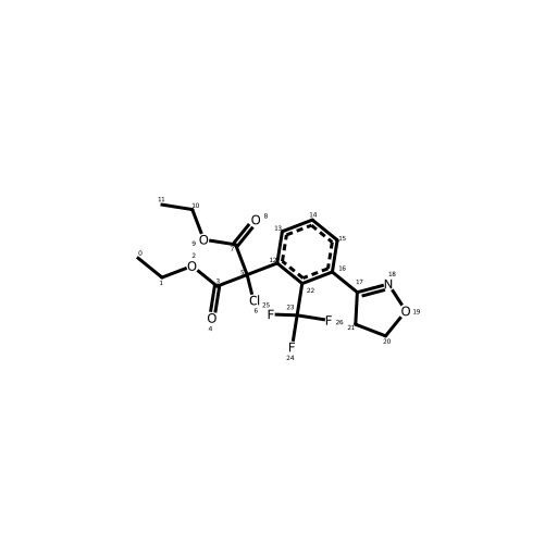 CCOC(=O)C(Cl)(C(=O)OCC)c1cccc(C2=NOCC2)c1C(F)(F)F